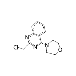 ClCc1nc(N2CCOCC2)c2ccccc2n1